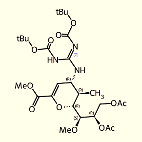 COC(=O)C1=C[C@H](N/C(=N/C(=O)OC(C)(C)C)NC(=O)OC(C)(C)C)[C@@H](C)[C@H]([C@H](OC)[C@@H](COC(C)=O)OC(C)=O)O1